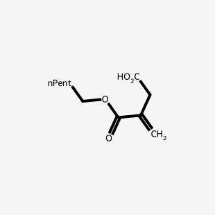 C=C(CC(=O)O)C(=O)OCCCCCC